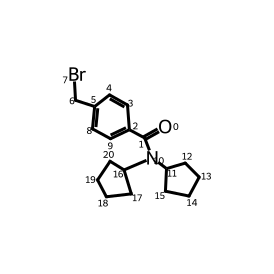 O=C(c1ccc(CBr)cc1)N(C1CCCC1)C1CCCC1